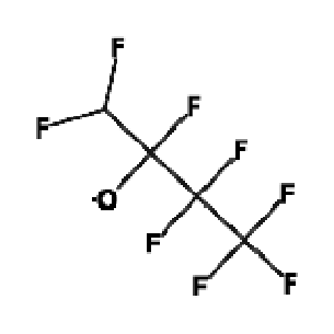 [O]C(F)(C(F)F)C(F)(F)C(F)(F)F